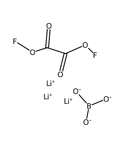 O=C(OF)C(=O)OF.[Li+].[Li+].[Li+].[O-]B([O-])[O-]